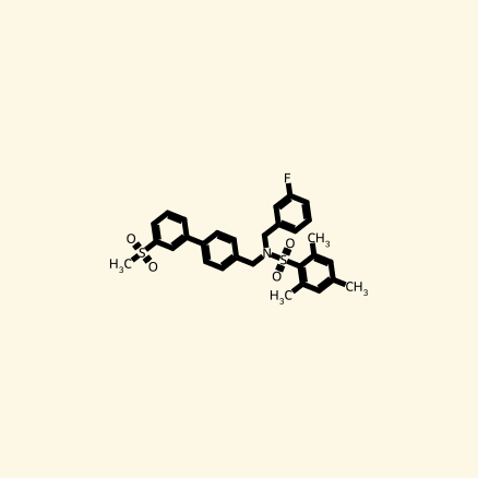 Cc1cc(C)c(S(=O)(=O)N(Cc2ccc(-c3cccc(S(C)(=O)=O)c3)cc2)Cc2cccc(F)c2)c(C)c1